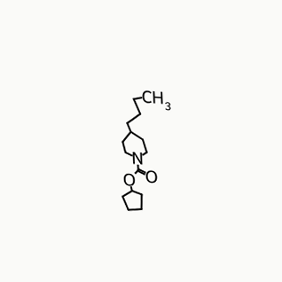 CCCCC1CCN(C(=O)OC2CCCC2)CC1